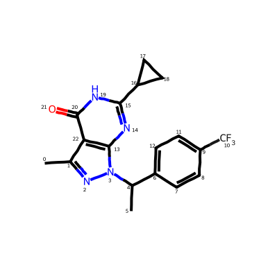 Cc1nn(C(C)c2ccc(C(F)(F)F)cc2)c2nc(C3CC3)[nH]c(=O)c12